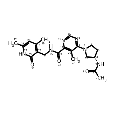 CC(=O)N[C@H]1CCN(c2ncnc(C(=O)NCc3c(C)cc(C)[nH]c3=O)c2C)C1